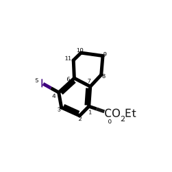 CCOC(=O)c1ccc(I)c2c1CCCC2